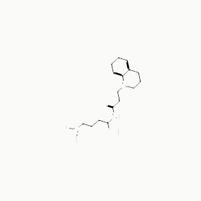 CCN(CC)CCCC(C)NC(=O)CCN1CCCC2=CCCC=C21